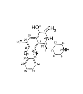 CC(CO)N[C@@H](CC1CCNCC1)c1ccc(F)c(Oc2ccccc2)c1F